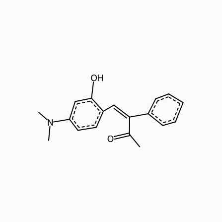 CC(=O)C(=Cc1ccc(N(C)C)cc1O)c1ccccc1